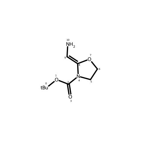 CC(C)(C)OC(=O)N1CCOC1=CN